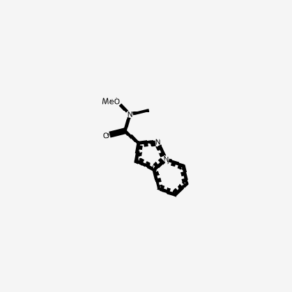 CON(C)C(=O)c1cc2ccccn2n1